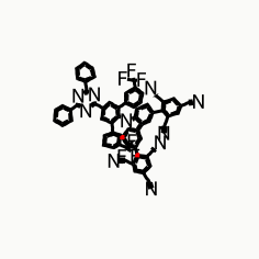 N#Cc1cc(C#N)c(-c2ccc3c(c2)c2cc(-c4c(C#N)cc(C#N)cc4C#N)ccc2n3-c2c(-c3cccc(C(F)(F)F)c3)cc(-c3nc(-c4ccccc4)nc(-c4ccccc4)n3)cc2-c2cccc(C(F)(F)F)c2)c(C#N)c1